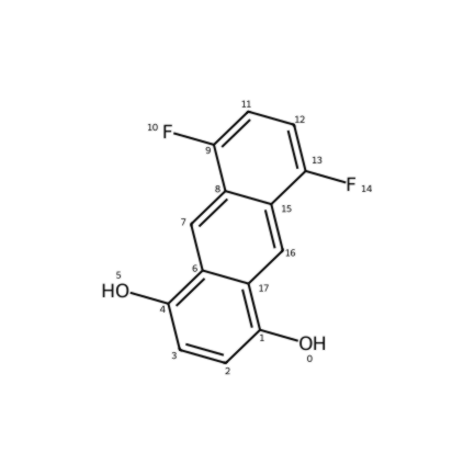 Oc1ccc(O)c2cc3c(F)ccc(F)c3cc12